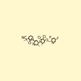 Cc1cnc(-n2cccc(C(C)(C)C#N)c2=O)cc1-n1c(C)cc(OCc2ncc(F)cc2F)c(Cl)c1=O